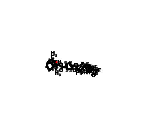 CC1CC2CCCC(C(C)(C)OC(=O)c3ccc(OS(=O)(=O)C(F)(F)C(F)(F)C(F)(F)S(=O)(=O)NS(=O)(=O)C(F)(F)F)cc3)(C1)C2